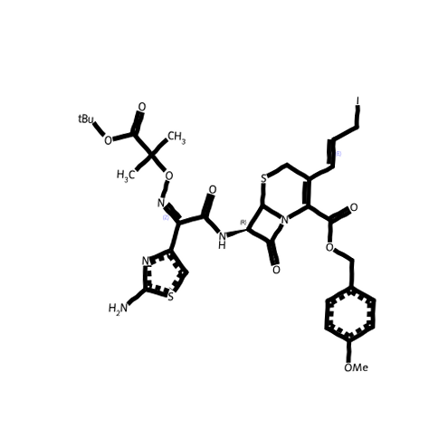 COc1ccc(COC(=O)C2=C(/C=C/CI)CSC3[C@H](NC(=O)/C(=N\OC(C)(C)C(=O)OC(C)(C)C)c4csc(N)n4)C(=O)N23)cc1